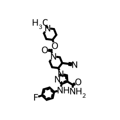 CN1CCC(OC(=O)N2CCC(n3cc(C(N)=O)c(Nc4ccc(F)cc4)n3)C(C#N)C2)CC1